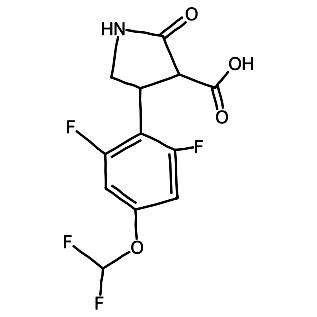 O=C(O)C1C(=O)NCC1c1c(F)cc(OC(F)F)cc1F